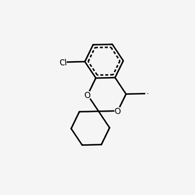 [CH2]C1OC2(CCCCC2)Oc2c(Cl)cccc21